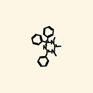 CN1P(c2ccccc2)N=P(c2ccccc2)(c2ccccc2)N(C)P1C